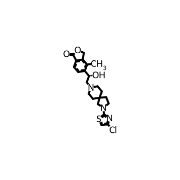 Cc1c([C@@H](O)CN2CCC3(CC2)CCN(c2nc(Cl)cs2)C3)ccc2c1COC2=O